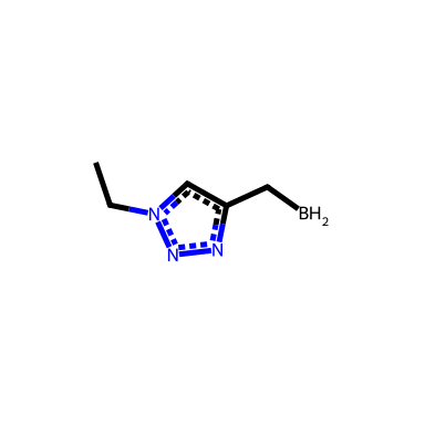 BCc1cn(CC)nn1